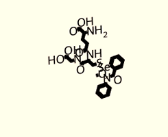 CON(C(=O)c1ccccc1[Se]SCC(NC(=O)CCC(N)C(=O)O)C(=O)NCC(=O)O)c1ccccc1